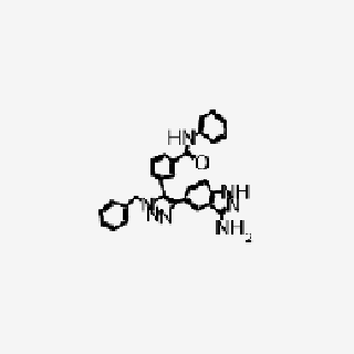 Nc1n[nH]c2ccc(-c3nnn(Cc4ccccc4)c3-c3cccc(C(=O)Nc4ccccc4)c3)cc12